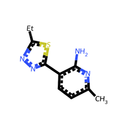 CCc1nnc(-c2ccc(C)nc2N)s1